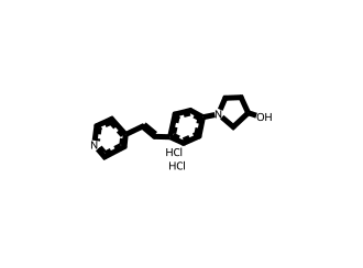 Cl.Cl.OC1CCN(c2ccc(C=Cc3ccncc3)cc2)C1